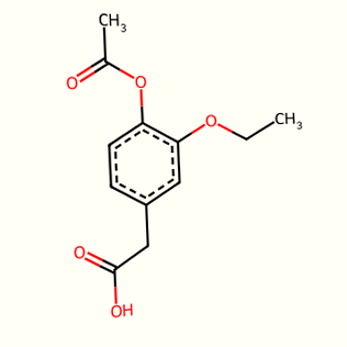 CCOc1cc(CC(=O)O)ccc1OC(C)=O